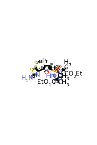 CCCSc1sc(N)nc1-c1ccc(P(=O)(NC(C)(C)C(=O)OCC)NC(C)(C)C(=O)OCC)o1